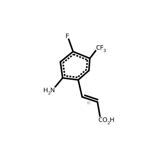 Nc1cc(F)c(C(F)(F)F)cc1/C=C/C(=O)O